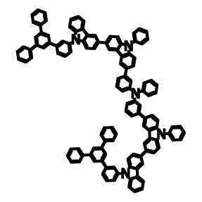 c1ccc(-c2cc(-c3ccccc3)cc(-c3cccc(-n4c5ccccc5c5cc(-c6ccc7c(c6)c6cc(-c8cccc(N(c9ccccc9)c9cccc(-c%10ccc%11c(c%10)c%10cc(-c%12ccc%13c(c%12)c%12ccccc%12n%13-c%12cccc(-c%13cc(-c%14ccccc%14)cc(-c%14ccccc%14)c%13)c%12)ccc%10n%11-c%10ccccc%10)c9)c8)ccc6n7-c6ccccc6)ccc54)c3)c2)cc1